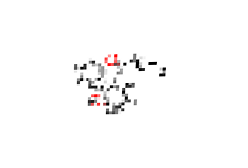 C=CCOc1ccccc1.c1ccc2c(c1)O2